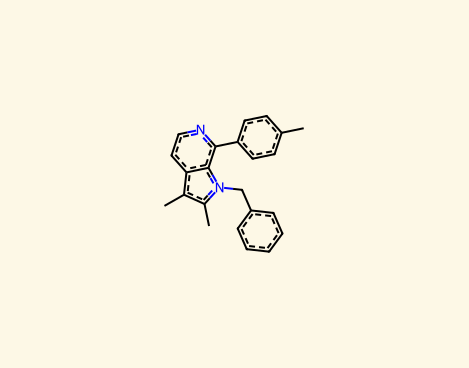 Cc1ccc(-c2nccc3c(C)c(C)n(Cc4ccccc4)c23)cc1